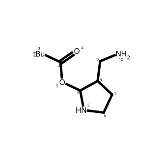 CC(C)(C)C(=O)OC1NCCC1CN